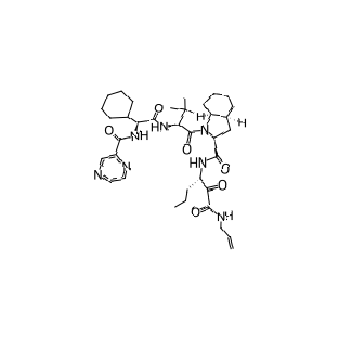 C=CCNC(=O)C(=O)[C@H](CCC)NC(=O)[C@@H]1C[C@@H]2CCCC[C@@H]2N1C(=O)[C@@H](NC(=O)[C@@H](NC(=O)c1cnccn1)C1CCCCC1)C(C)(C)C